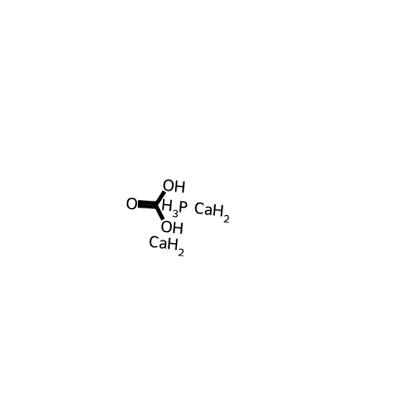 O=C(O)O.P.[CaH2].[CaH2]